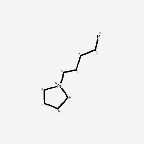 FCCCCN1CCCC1